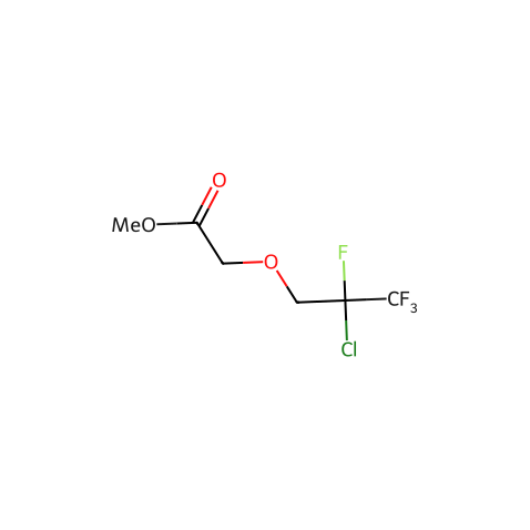 COC(=O)COCC(F)(Cl)C(F)(F)F